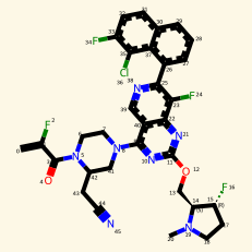 C=C(F)C(=O)N1CCN(c2nc(OC[C@H]3[C@H](F)CCN3C)nc3c(F)c(-c4cccc5ccc(F)c(Cl)c45)ncc23)CC1CC#N